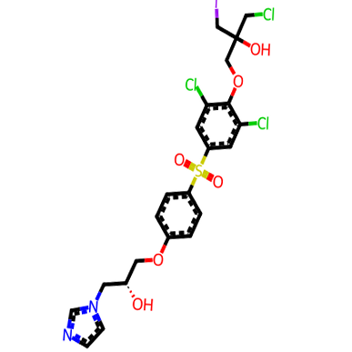 O=S(=O)(c1ccc(OC[C@H](O)Cn2ccnc2)cc1)c1cc(Cl)c(OCC(O)(CCl)CI)c(Cl)c1